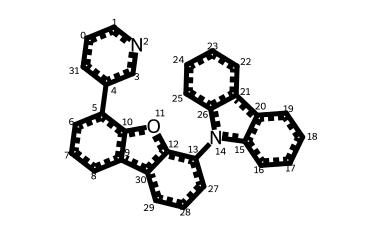 c1cncc(-c2cccc3c2oc2c(-n4c5ccccc5c5ccccc54)cccc23)c1